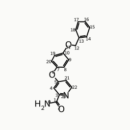 NC(=O)c1cc(Oc2ccc(OCc3ccccc3)cc2)ccn1